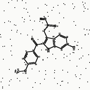 COC(=O)Cc1c(C(=O)c2ccc(OC(F)(F)F)cc2)[nH]c2cc(Cl)ccc12